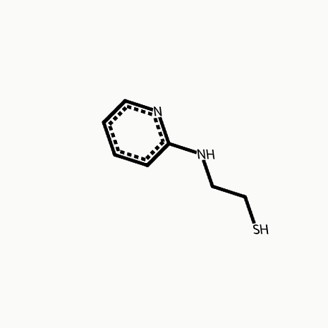 SCCNc1ccccn1